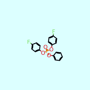 O=P(Oc1ccccc1)(Oc1ccc(F)cc1)Oc1ccc(F)cc1